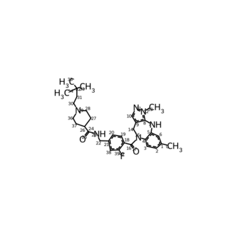 Cc1ccc2c(c1)Nc1c(cnn1C)CN2C(=O)c1ccc(CNC(=O)C2CCN(CCC(C)(C)C)CC2)cc1F